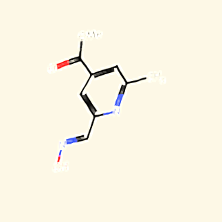 COC(=O)c1cc(C)nc(C=NO)c1